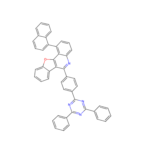 c1ccc(-c2nc(-c3ccccc3)nc(-c3ccc(-c4nc5cccc(-c6cccc7ccccc67)c5c5oc6ccccc6c45)cc3)n2)cc1